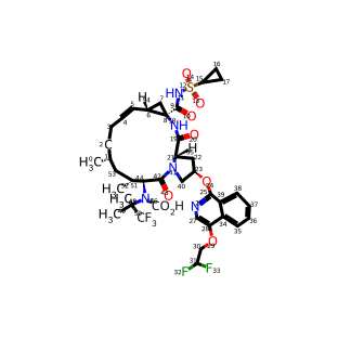 C[C@@H]1CCC=C[C@@H]2C[C@@]2(C(=O)NS(=O)(=O)C2CC2)NC(=O)[C@@H]2C[C@@H](Oc3ncc(OCC(F)F)c4ccccc34)CN2C(=O)[C@@H](N(C(=O)O)C(C)(C)C(F)(F)F)[C@H](C)C1